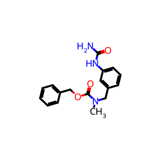 CN(Cc1cccc(NC(N)=O)c1)C(=O)OCc1ccccc1